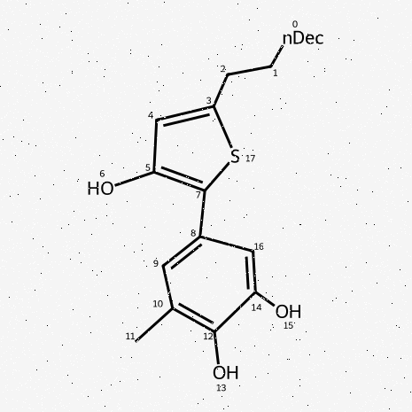 CCCCCCCCCCCCc1cc(O)c(-c2cc(C)c(O)c(O)c2)s1